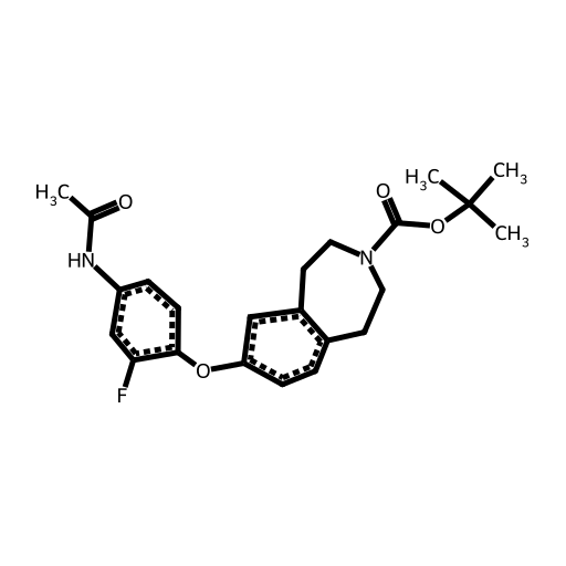 CC(=O)Nc1ccc(Oc2ccc3c(c2)CCN(C(=O)OC(C)(C)C)CC3)c(F)c1